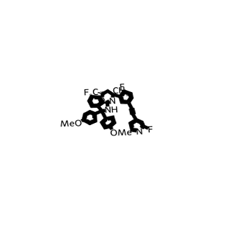 COc1ccc(C(NC2=N[C@](C)(c3cc(C#Cc4ccnc(F)c4)ccc3F)C[C@@H](C(F)(F)F)O2)(c2ccccc2)c2ccc(OC)cc2)cc1